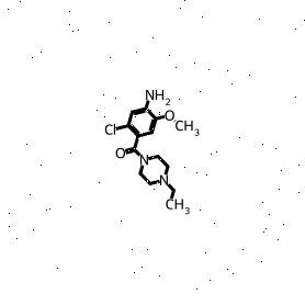 CCN1CCN(C(=O)c2cc(OC)c(N)cc2Cl)CC1